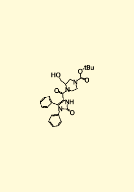 CC(C)(C)OC(=O)N1CCN(C(=O)c2[nH]c(=O)n(-c3ccccc3)c2-c2ccccc2)C(CO)C1